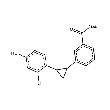 COC(=O)c1cccc(C2CC2c2ccc(O)cc2Cl)c1